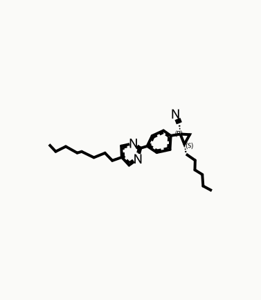 CCCCCCCCc1cnc(-c2ccc([C@@]3(C#N)C[C@@H]3CCCCCC)cc2)nc1